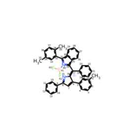 Cc1cccc(C2=CC(c3ccccc3)=N/C2=C(/c2ccccc2)c2c3ccccc3c(-c3cc(C)ccc3C)n2B(F)F)c1